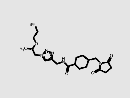 CC(C)CCOC(C)Cn1cc(CNC(=O)C2CCC(CN3C(=O)CCC3=O)CC2)nn1